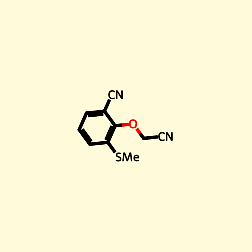 CSc1cccc(C#N)c1OCC#N